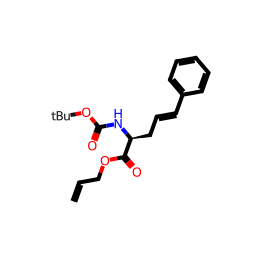 C=CCOC(=O)[C@H](CC=Cc1ccccc1)NC(=O)OC(C)(C)C